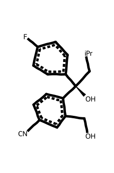 [C-]#[N+]c1ccc([C@@](O)(CC(C)C)c2ccc(F)cc2)c(CO)c1